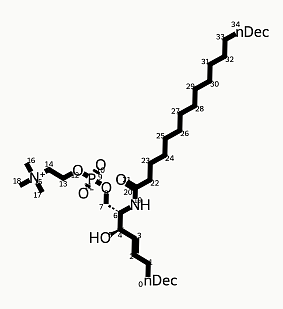 CCCCCCCCCCC/C=C/[C@@H](O)[C@H](COP(=O)([O-])OCC[N+](C)(C)C)NC(=O)CCCCCCCCCCCCCCCCCCCCCC